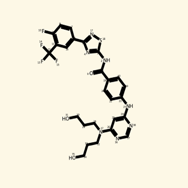 O=C(Nc1nc(-c2ccc(F)c(C(F)(F)F)c2)ns1)c1ccc(Nc2cc(N(CCCO)CCCO)ncn2)cc1